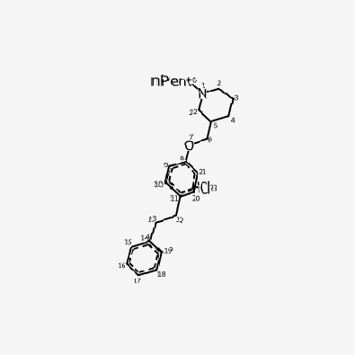 CCCCCN1CCCC(COc2ccc(CCc3ccccc3)cc2)C1.Cl